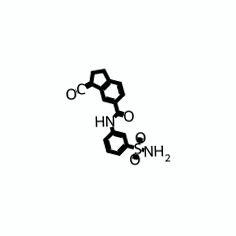 NS(=O)(=O)c1cccc(NC(=O)c2ccc3c(c2)C(=C=O)CC3)c1